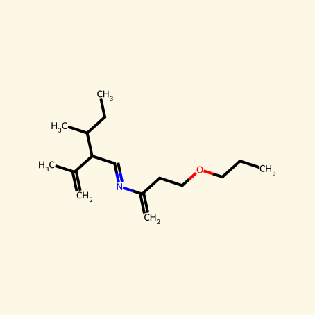 C=C(CCOCCC)/N=C/C(C(=C)C)C(C)CC